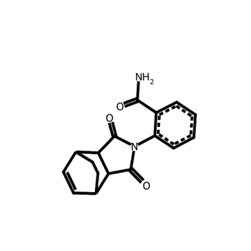 NC(=O)c1ccccc1N1C(=O)C2C3C=CC(CC3)C2C1=O